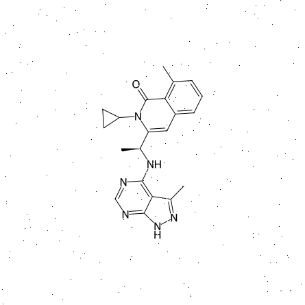 Cc1n[nH]c2ncnc(N[C@@H](C)c3cc4cccc(C)c4c(=O)n3C3CC3)c12